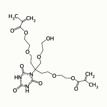 C=C(C)C(=O)OCCOCCC(CCOCCOC(=O)C(=C)C)(COCCO)n1c(=O)[nH]c(=O)[nH]c1=O